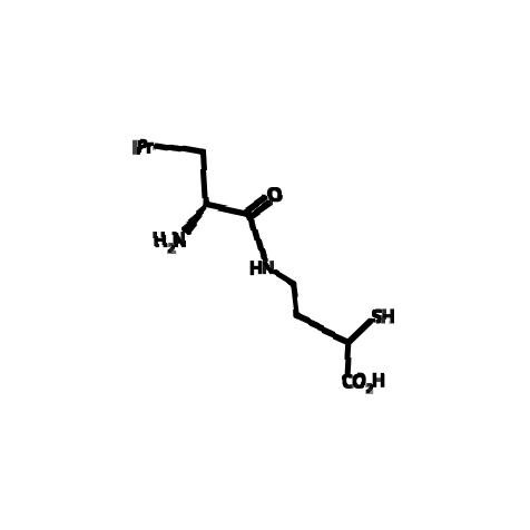 CC(C)C[C@H](N)C(=O)NCCC(S)C(=O)O